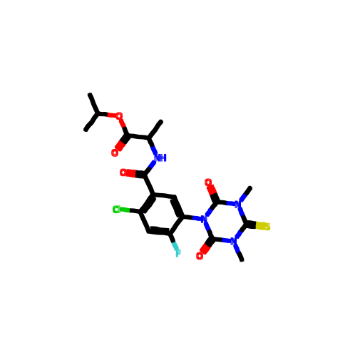 CC(C)OC(=O)C(C)NC(=O)c1cc(-n2c(=O)n(C)c(=S)n(C)c2=O)c(F)cc1Cl